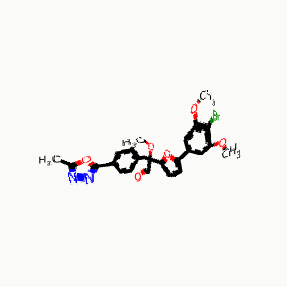 COc1cc(-c2ccc(C(C=O)(OC)c3ccc(-c4nnc(C)o4)cc3)o2)cc(OC)c1Br